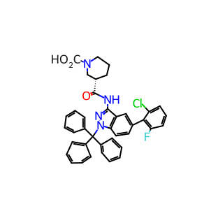 O=C(Nc1nn(C(c2ccccc2)(c2ccccc2)c2ccccc2)c2ccc(-c3c(F)cccc3Cl)cc12)[C@H]1CCCN(C(=O)O)C1